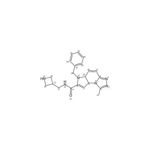 Cc1nnc2n1C1C=C(C(=O)NCC3CNC3)N(Cc3ccccc3)C1C=C2